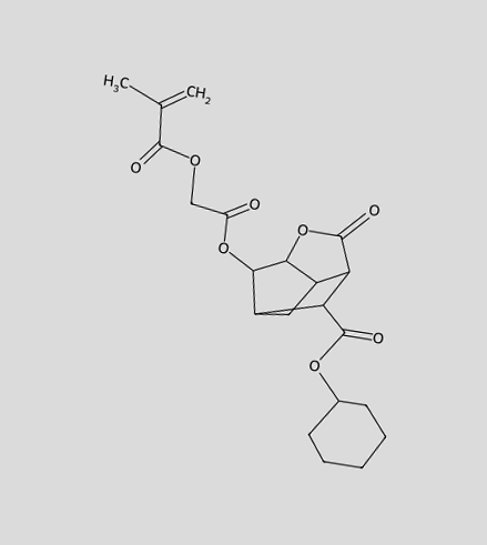 C=C(C)C(=O)OCC(=O)OC1C2CC3C1OC(=O)C3C2C(=O)OC1CCCCC1